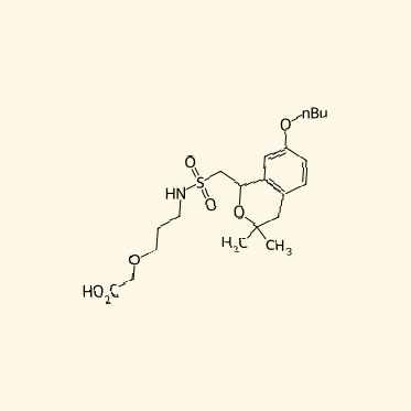 CCCCOc1ccc2c(c1)C(CS(=O)(=O)NCCCOCC(=O)O)OC(C)(C)C2